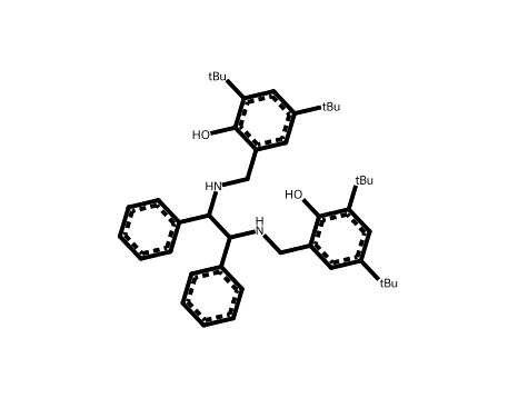 CC(C)(C)c1cc(CNC(c2ccccc2)C(NCc2cc(C(C)(C)C)cc(C(C)(C)C)c2O)c2ccccc2)c(O)c(C(C)(C)C)c1